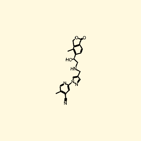 Cc1cnc(-n2cc(CNCC(O)c3ccc4c(c3C)COC4=O)cn2)cc1C#N